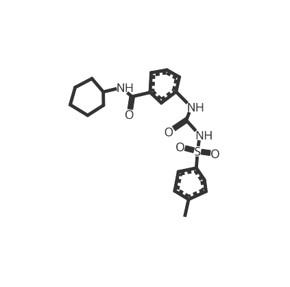 Cc1ccc(S(=O)(=O)NC(=O)Nc2cccc(C(=O)NC3CCCCC3)c2)cc1